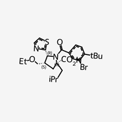 CCOC[C@H]1C[C@@](CC(C)C)(C(=O)O)N(C(=O)c2ccc(C(C)(C)C)c(Br)c2)[C@H]1c1nccs1